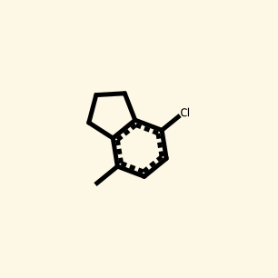 Cc1ccc(Cl)c2c1CCC2